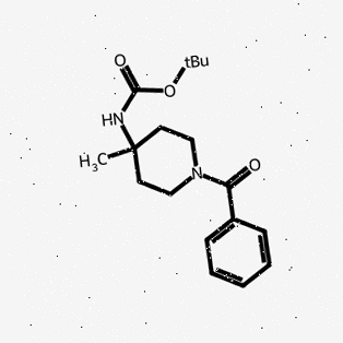 CC1(NC(=O)OC(C)(C)C)CCN(C(=O)c2ccccc2)CC1